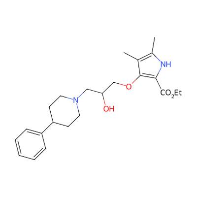 CCOC(=O)c1[nH]c(C)c(C)c1OCC(O)CN1CCC(c2ccccc2)CC1